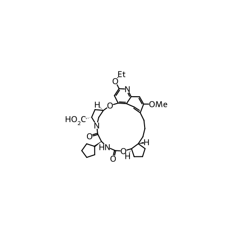 CCOc1cc2c3cc(c(OC)cc3n1)CCC[C@@H]1CCC[C@H]1OC(=O)N[C@@H](C1CCCC1)C(=O)N1C[C@@H](C[C@H]1C(=O)O)O2